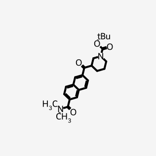 CN(C)C(=O)c1ccc2cc(C(=O)C3CCCN(C(=O)OC(C)(C)C)C3)ccc2c1